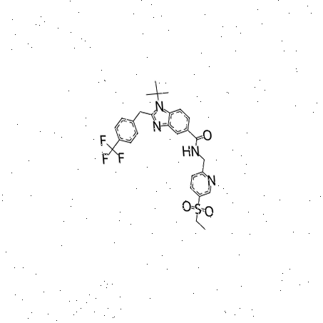 CCS(=O)(=O)c1ccc(CNC(=O)c2ccc3c(c2)nc(Cc2ccc(C(F)(F)F)cc2)n3C(C)(C)C)nc1